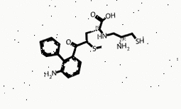 CSC(C[C@H](NC[C@@H](N)CS)C(=O)O)C(=O)c1cccc(N)c1-c1ccccc1